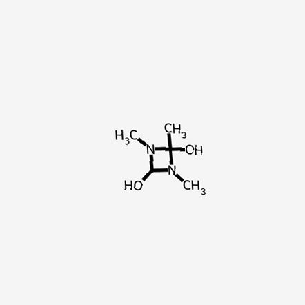 CN1C(O)N(C)C1(C)O